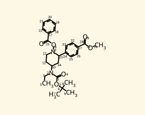 CCN(C(=O)OC(C)(C)C)C1CCN(OC(=O)c2ccccc2)C(c2ccc(C(=O)OC)cc2)C1